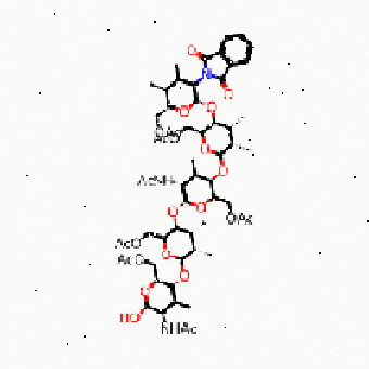 CC(=O)N[C@@H]1C(C)[C@@H](OC2OC(COC(C)=O)C(O[C@@H]3O[C@@H](COC(C)=O)[C@@H](C)C(C)C3N3C(=O)c4ccccc4C3=O)[C@H](C)[C@@H]2C)C(COC(C)=O)O[C@@H]1OC1C(COC(C)=O)OC(O[C@H]2C(COC(C)=O)O[C@H](O)[C@H](NC(C)=O)C2C)[C@@H](C)[C@H]1C